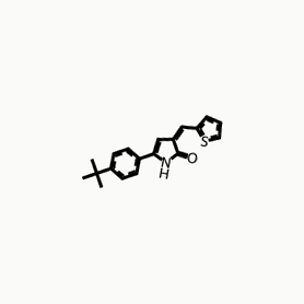 CC(C)(C)c1ccc(C2=CC(=Cc3cccs3)C(=O)N2)cc1